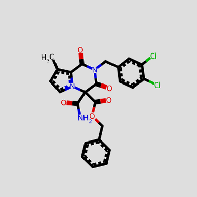 Cc1ccn2c1C(=O)N(Cc1ccc(Cl)c(Cl)c1)C(=O)C2(C(N)=O)C(=O)OCc1ccccc1